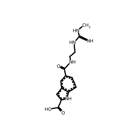 CNC(=N)NCCNC(=O)c1ccc2[nH]c(C(=O)O)cc2c1